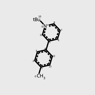 Cc1ccc(-c2ccc[n+](C(C)(C)C)c2)cc1